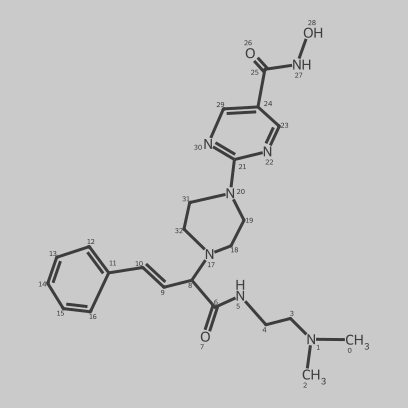 CN(C)CCNC(=O)C(/C=C/c1ccccc1)N1CCN(c2ncc(C(=O)NO)cn2)CC1